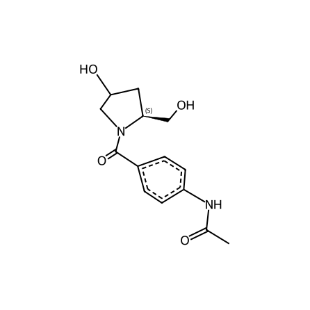 CC(=O)Nc1ccc(C(=O)N2CC(O)C[C@H]2CO)cc1